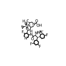 CC1CN(C(=O)O)CC(CCc2c(F)cncc2NC(=O)[C@@H](N=[N+]=[N-])[C@@H](c2ccc(F)cc2)c2cc(F)cc(F)c2)N1S(=O)(=O)C1CC1